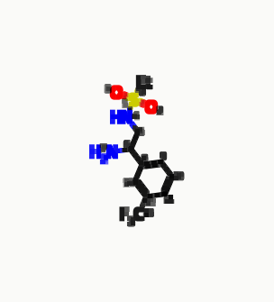 CCS(=O)(=O)NCC(N)c1cccc(C(F)(F)F)c1